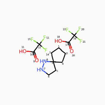 C1CCC2(C1)CCNN2.O=C(O)C(F)(F)F.O=C(O)C(F)(F)F